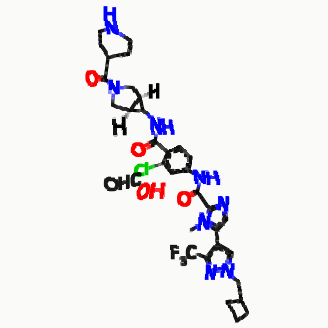 Cn1c(-c2cn(CC3CCC3)nc2C(F)(F)F)cnc1C(=O)Nc1ccc(C(=O)NC2[C@H]3CN(C(=O)C4CCNCC4)C[C@@H]23)c(Cl)c1.O=CO